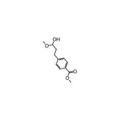 COC(=O)c1ccc(CCC(O)OC)cc1